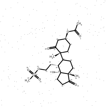 CC(=O)O[C@H]1CC[C@](C)(C2CC[C@]3(C)C(=O)CC[C@H]3[C@@H]2CCOS(C)(=O)=O)C(=O)C1